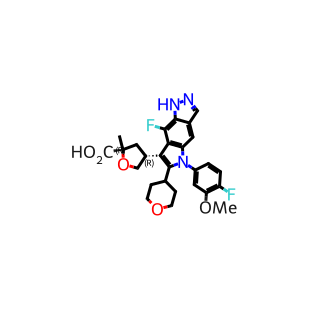 COc1cc(-n2c(C3CCOCC3)c([C@@H]3CO[C@@](C)(C(=O)O)C3)c3c(F)c4[nH]ncc4cc32)ccc1F